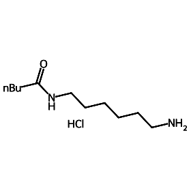 CCCCC(=O)NCCCCCCN.Cl